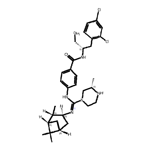 C[C@@H]1[C@@H](/N=C(\Nc2ccc(C(=O)N[C@H](CO)Cc3ccc(Cl)cc3Cl)cc2)N2CCN[C@@H](C)C2)C[C@H]2C[C@@H]1C2(C)C